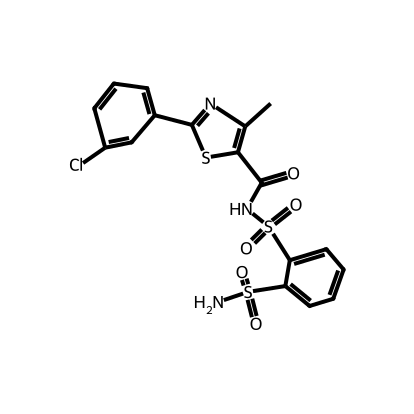 Cc1nc(-c2cccc(Cl)c2)sc1C(=O)NS(=O)(=O)c1ccccc1S(N)(=O)=O